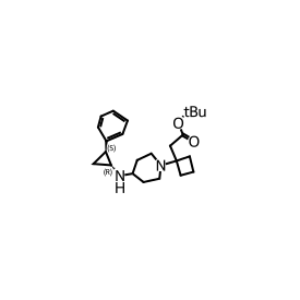 CC(C)(C)OC(=O)CC1(N2CCC(N[C@@H]3C[C@H]3c3ccccc3)CC2)CCC1